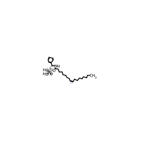 CCCCCCCC/C=C\CCCCCCCC(=O)N[C@H](COP(=O)(O)O)c1ccccc1